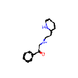 O=C(CNCCC1CCCCN1)c1ccccc1